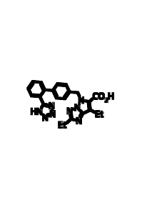 CCc1nc2c(CC)c(C(=O)O)n(Cc3ccc(-c4ccccc4-c4nnn[nH]4)cc3)n2n1